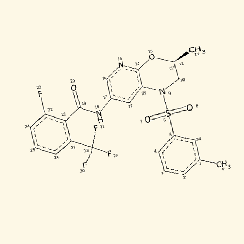 Cc1cccc(S(=O)(=O)N2C[C@H](C)Oc3ncc(NC(=O)c4c(F)cccc4C(F)(F)F)cc32)c1